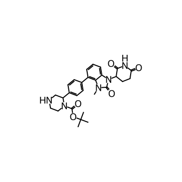 Cn1c(=O)n(C2CCC(=O)NC2=O)c2cccc(-c3ccc(C4CNCCN4C(=O)OC(C)(C)C)cc3)c21